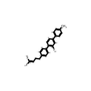 Cc1ccc(-c2ccc(-c3ccc(CCC=C(F)F)cc3)c(F)c2)cc1